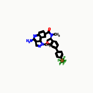 CN(C(=O)c1ccc2nc(N)c3cnn(C)c3c2c1)[C@@H]1COc2cc(-c3ccc(S(F)(F)(F)(F)F)cc3)ccc21